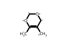 CC1=C(C)OCOC1